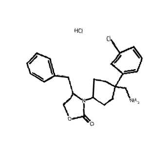 Cl.NCC1(c2cccc(Cl)c2)CCC(N2C(=O)OCC2Cc2ccccc2)CC1